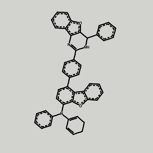 C1=CC(N(c2ccccc2)c2ccc(-c3ccc(C4=Nc5c(oc6ccccc56)C(c5ccccc5)N4)cc3)c3c2oc2ccccc23)=CCC1